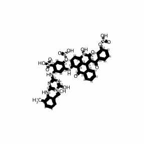 C#Cc1cccc(C)c1Nc1nc(O)nc(Nc2cc(Nc3ccc4c5c3C(=O)c3ccccc3-c5c(C(=O)c3cccc(OS(=O)O)c3)c(=O)n4O)c(OS(=O)O)cc2S(=O)(=O)O)n1